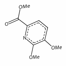 COC(=O)c1ccc(OC)c(OC)n1